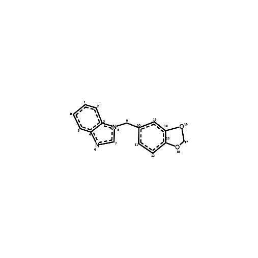 c1ccc2c(c1)ncn2Cc1ccc2c(c1)OCO2